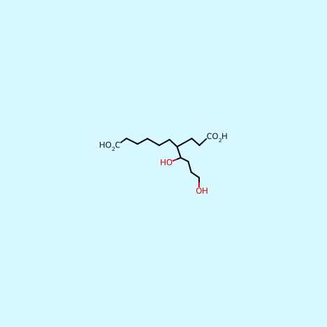 O=C(O)CCCCCC(CCC(=O)O)C(O)CCCO